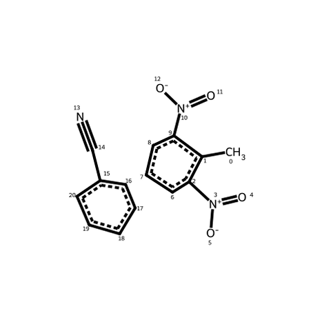 Cc1c([N+](=O)[O-])cccc1[N+](=O)[O-].N#Cc1ccccc1